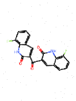 O=C(c1cc2cccc(F)c2[nH]c1=O)c1cc2cccc(F)c2[nH]c1=O